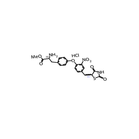 COC(=O)[C@@H](N)Cc1ccc(Oc2ccc(/C=C3/SC(=O)NC3=O)cc2[N+](=O)[O-])cc1.Cl